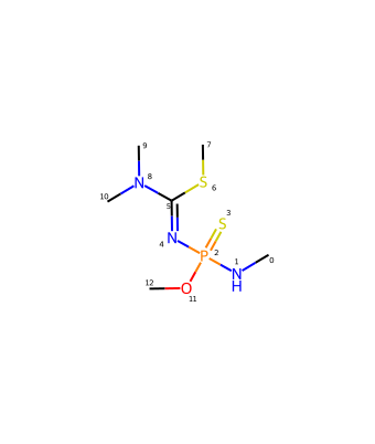 CNP(=S)(N=C(SC)N(C)C)OC